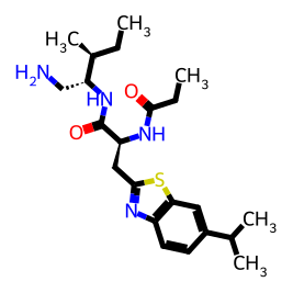 CCC(=O)N[C@@H](Cc1nc2ccc(C(C)C)cc2s1)C(=O)N[C@H](CN)[C@@H](C)CC